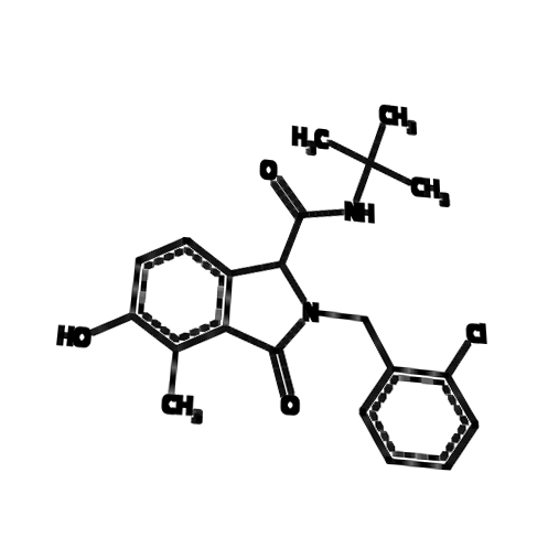 Cc1c(O)ccc2c1C(=O)N(Cc1ccccc1Cl)C2C(=O)NC(C)(C)C